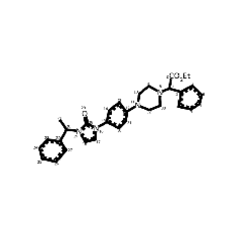 CCOC(=O)C(c1ccccc1)N1CCN(c2ccc(-n3ccn(C(C)c4ccccc4)c3=O)cc2)CC1